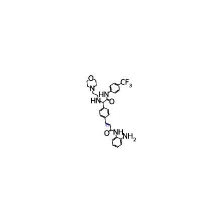 Nc1ccccc1NC(=O)/C=C/c1ccc(C(NCCN2CCOCC2)C(=O)Nc2ccc(C(F)(F)F)cc2)cc1